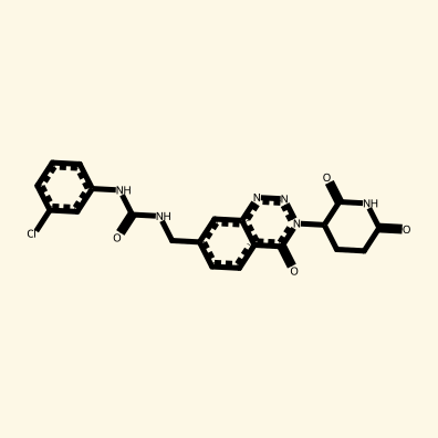 O=C1CCC(n2nnc3cc(CNC(=O)Nc4cccc(Cl)c4)ccc3c2=O)C(=O)N1